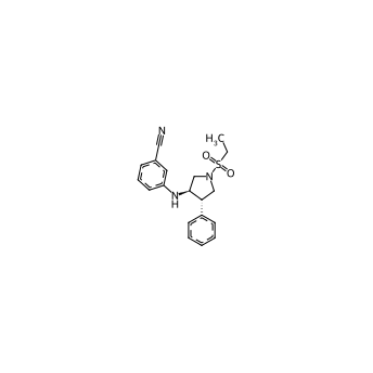 CCS(=O)(=O)N1C[C@H](Nc2cccc(C#N)c2)[C@@H](c2ccccc2)C1